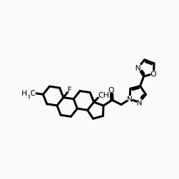 CC1CCC2(F)C(CCC3C4CCC(C(=O)Cn5cc(-c6ncco6)cn5)C4(C)CCC32)C1